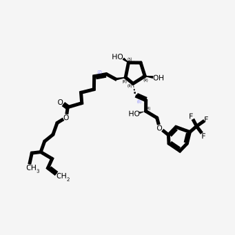 C=CCC(CC)CCCOC(=O)CCC/C=C\C[C@@H]1[C@@H](/C=C/[C@@H](O)COc2cccc(C(F)(F)F)c2)[C@H](O)C[C@@H]1O